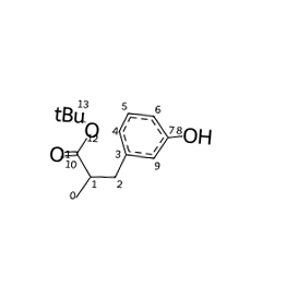 CC(Cc1cccc(O)c1)C(=O)OC(C)(C)C